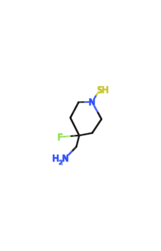 NCC1(F)CCN(S)CC1